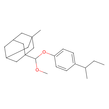 CCC(C)c1ccc(OC(OC)C23CC4CC(CC(C)(C4)C2)C3)cc1